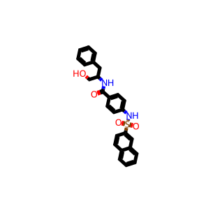 O=C(NC(CO)Cc1ccccc1)c1ccc(NS(=O)(=O)c2ccc3ccccc3c2)cc1